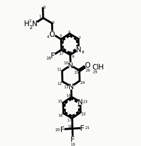 CC(N)COc1ccnc(N2CCN(c3ccc(C(F)(F)F)cn3)CC2=O)c1F.Cl